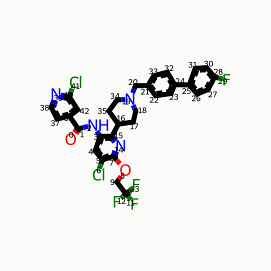 O=C(Nc1cc(Cl)c(OCC(F)(F)F)nc1C1CCN(Cc2ccc(-c3ccc(F)cc3)cc2)CC1)c1ccnc(Cl)c1